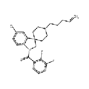 C=CCCCN1CCC2(CC1)CN(C(=O)c1cccc(F)c1F)c1ccc(Cl)cc12